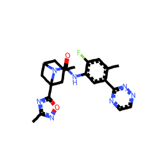 Cc1noc(C23CC(C)CC(C2)N3C(=O)Nc2cc(-c3nccnn3)c(C)cc2F)n1